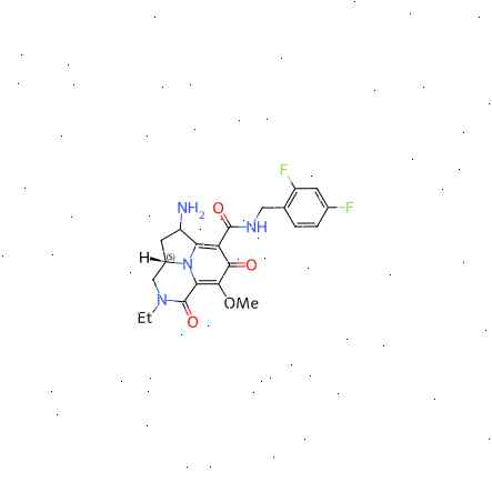 CCN1C[C@@H]2CC(N)c3c(C(=O)NCc4ccc(F)cc4F)c(=O)c(OC)c(n32)C1=O